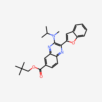 CC(C)N(C)c1nc2cc(C(=O)OCC(C)(C)C)ccc2nc1-c1cc2ccccc2o1